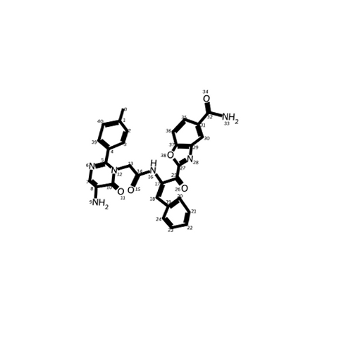 Cc1ccc(-c2ncc(N)c(=O)n2CC(=O)NC(=Cc2ccccc2)C(=O)c2nc3cc(C(N)=O)ccc3o2)cc1